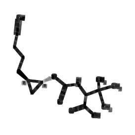 C#CCCC[C@@H]1C[C@H]1OC(=O)NC(C(=O)O)C(C)(C)C